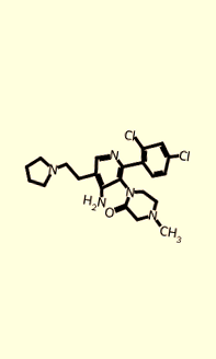 CN1CCN(c2c(-c3ccc(Cl)cc3Cl)ncc(CCN3CCCC3)c2N)C(=O)C1